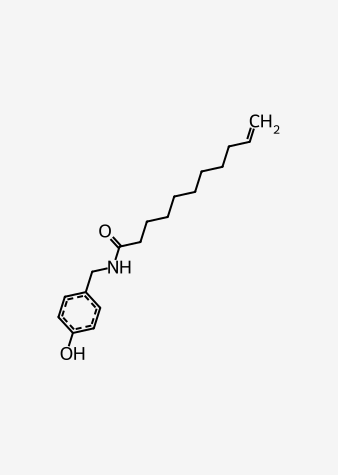 C=CCCCCCCCCC(=O)NCc1ccc(O)cc1